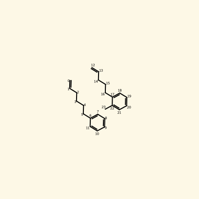 C=CCCCCc1ccccc1.C=CCCCc1ccccc1C